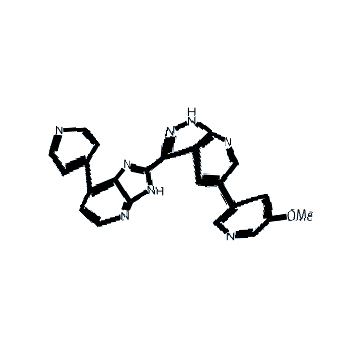 COc1cncc(-c2cnc3[nH]nc(-c4nc5c(-c6ccncc6)ccnc5[nH]4)c3c2)c1